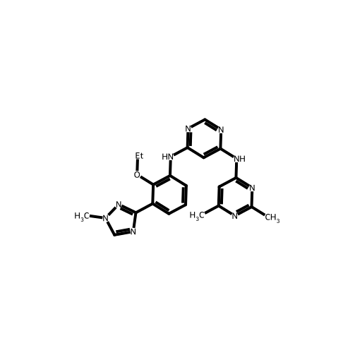 CCOc1c(Nc2cc(Nc3cc(C)nc(C)n3)ncn2)cccc1-c1ncn(C)n1